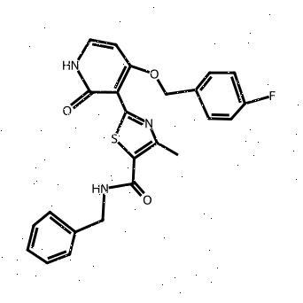 Cc1nc(-c2c(OCc3ccc(F)cc3)cc[nH]c2=O)sc1C(=O)NCc1ccccc1